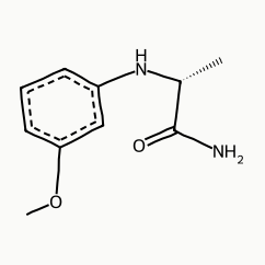 COc1cccc(N[C@H](C)C(N)=O)c1